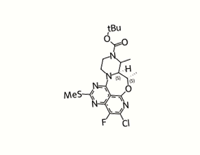 CSc1nc2c3c(nc(Cl)c(F)c3n1)O[C@@H](C)[C@@H]1C(C)N(C(=O)OC(C)(C)C)CCN21